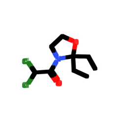 CCC1(CC)OCCN1C(=O)C(Cl)Cl